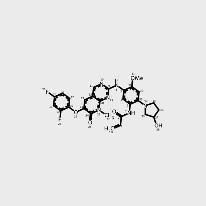 C=CC(=O)Nc1cc(Nc2ncc3cc(Oc4ccc(F)cc4F)c(=O)n(C)c3n2)c(OC)cc1N1CCC(O)C1